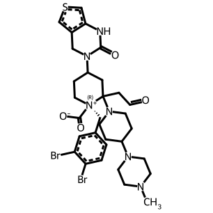 CN1CCN(C2CCN(C3(CC=O)CC(N4Cc5cscc5NC4=O)CC[N@+]3(Cc3ccc(Br)c(Br)c3)C(=O)[O-])CC2)CC1